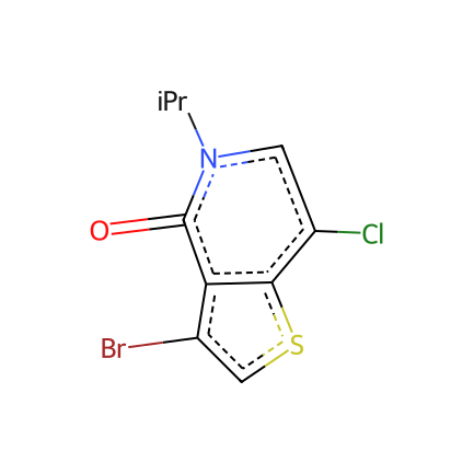 CC(C)n1cc(Cl)c2scc(Br)c2c1=O